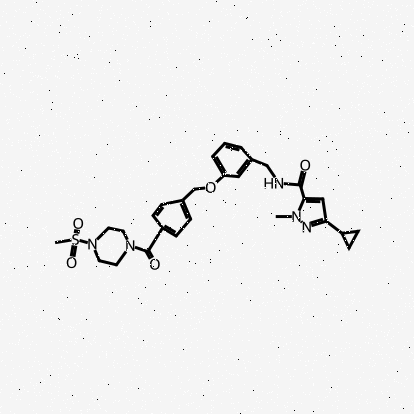 Cn1nc(C2CC2)cc1C(=O)NCc1cccc(OCc2ccc(C(=O)N3CCN(S(C)(=O)=O)CC3)cc2)c1